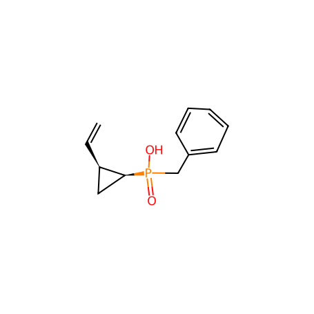 C=C[C@@H]1C[C@@H]1P(=O)(O)Cc1ccccc1